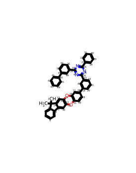 CC1(C)c2ccccc2-c2cc3c(cc21)Oc1cc(-c2cccc(-c4nc(-c5ccccc5)nc(-c5cccc(-c6ccccc6)c5)n4)c2)ccc1O3